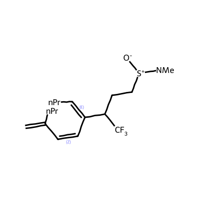 C=C(/C=C\C(=C/CCC)C(CC[S+]([O-])NC)C(F)(F)F)CCC